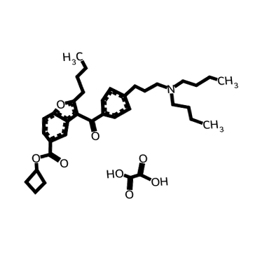 CCCCc1oc2ccc(C(=O)OC3CCC3)cc2c1C(=O)c1ccc(CCCN(CCCC)CCCC)cc1.O=C(O)C(=O)O